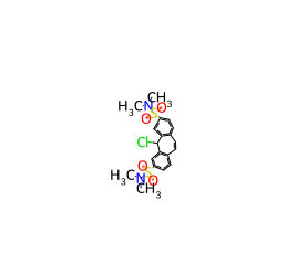 CN(C)S(=O)(=O)c1ccc2c(c1)C(Cl)c1cc(S(=O)(=O)N(C)C)ccc1C=C2